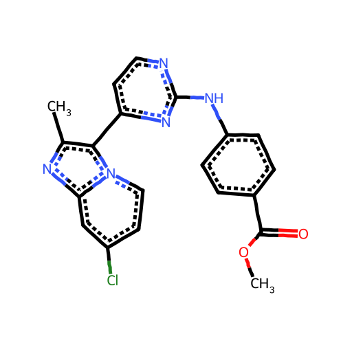 COC(=O)c1ccc(Nc2nccc(-c3c(C)nc4cc(Cl)ccn34)n2)cc1